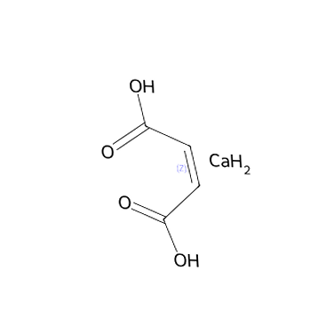 O=C(O)/C=C\C(=O)O.[CaH2]